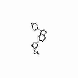 Cn1cc(-c2ccc3ncc(-c4ccncc4)n3n2)cn1